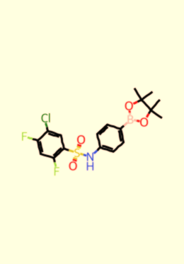 CC1(C)OB(c2ccc(NS(=O)(=O)c3cc(Cl)c(F)cc3F)cc2)OC1(C)C